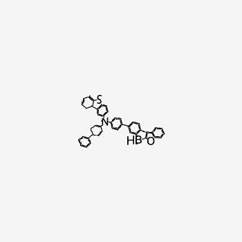 B1c2cc(-c3ccc(N(C4=CCC(c5ccccc5)C=C4)c4ccc5c(c4)C4CC=CC=C4S5)cc3)ccc2-c2c1oc1ccccc21